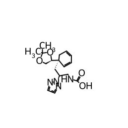 CC1(C)OC[C@H]([C@]2(CC(CNC(=O)O)n3nccn3)C=CC=CC2)O1